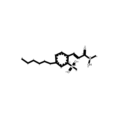 CCCCCCc1ccc(C=CC(=O)N(C)O)c(S(C)(=O)=O)c1